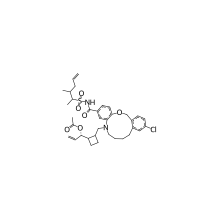 C=CCC(C)C(C)S(=O)(=O)NC(=O)c1ccc2c(c1)N(CC1CCC1[C@H](C=C)OC(C)=O)CCCCc1cc(Cl)ccc1CO2